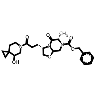 C[C@H]1C(=O)N2C(CN1C(=O)OCc1ccccc1)OC[C@@H]2CCC(=O)N1CCC2(CC2)C(O)C1